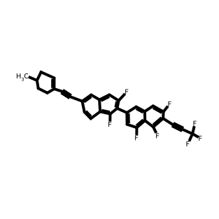 CC1CC=C(C#Cc2ccc3c(F)c(-c4cc(F)c5c(F)c(C#CC(F)(F)F)c(F)cc5c4)c(F)cc3c2)CC1